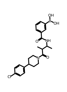 CC(NC(=O)c1cccc(B(O)O)c1)C(C)C(=O)N1CCC(c2ccc(Cl)cc2)CC1